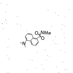 CNS(=O)(=O)c1cccc2c(N(C)C)cccc12